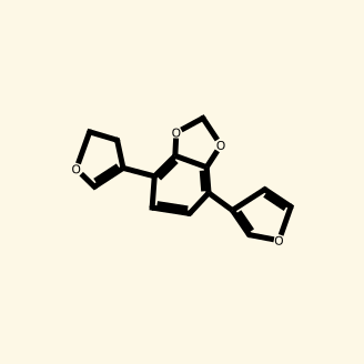 C1=C(c2ccc(-c3ccoc3)c3c2OCO3)CCO1